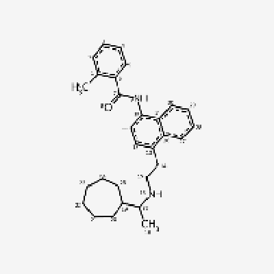 Cc1ccccc1C(=O)Nc1ccc(CCNC(C)C2CCCCCC2)c2ccccc12